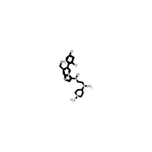 CCN(CCN(C)C1CCN(C)CC1)c1cnc2cc(CN)c(-c3ccc(Cl)cc3Cl)cn12